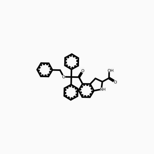 O=C(O)C1Cc2c(cccc2C(=O)C(OCc2ccccc2)(c2ccccc2)c2ccccc2)N1